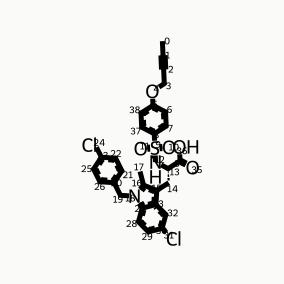 CC#CCOc1ccc(S(=O)(=O)N[C@@H](Cc2c(C)n(Cc3ccc(Cl)cc3)c3ccc(Cl)cc23)C(=O)O)cc1